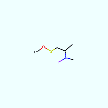 CCOSCC(C)N(C)I